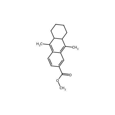 COC(=O)c1ccc2c(c1)=C(C)C1CCCCC1C=2C